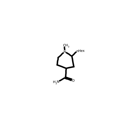 CCCCCCC1CC(C(N)=O)CCN1C